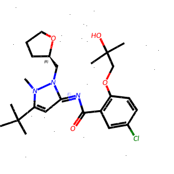 Cn1c(C(C)(C)C)c/c(=N\C(=O)c2cc(Cl)ccc2OCC(C)(C)O)n1C[C@H]1CCCO1